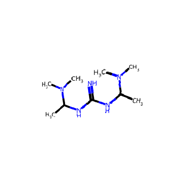 CC(NC(=N)NC(C)N(C)C)N(C)C